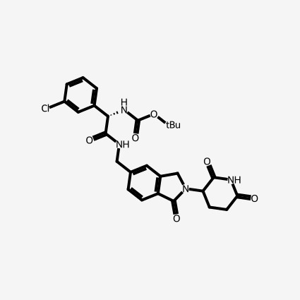 CC(C)(C)OC(=O)N[C@H](C(=O)NCc1ccc2c(c1)CN(C1CCC(=O)NC1=O)C2=O)c1cccc(Cl)c1